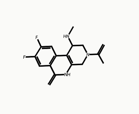 C=C1NC2=C(c3cc(F)c(F)cc31)C(NC)CN(C(=C)C)C2